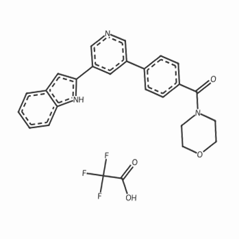 O=C(O)C(F)(F)F.O=C(c1ccc(-c2cncc(-c3cc4ccccc4[nH]3)c2)cc1)N1CCOCC1